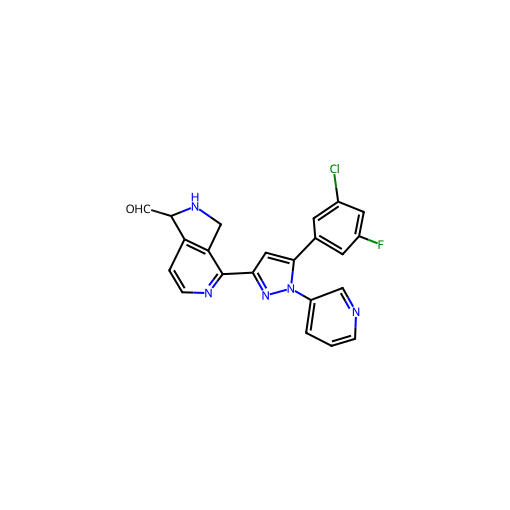 O=CC1NCc2c1ccnc2-c1cc(-c2cc(F)cc(Cl)c2)n(-c2cccnc2)n1